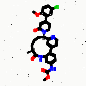 COC(=O)Nc1ccc2c(c1)NC(=O)[C@H](C)CCC[C@H](N1CCC(c3cc(Cl)ccc3OC)=CC1=O)c1cc-2ccn1